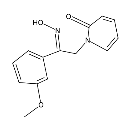 COc1cccc(/C(Cn2ccccc2=O)=N\O)c1